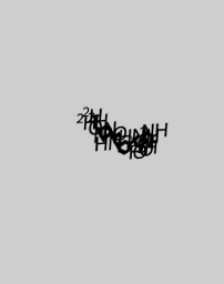 [2H]C([2H])([2H])Oc1cnc(C(=O)Nc2ccc(F)c([C@]3(C)CS(=O)(=O)N(C([2H])([2H])C)C(=N)N3)c2)cn1